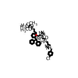 CC1(C)OB(CCCCC(NC(c2ccccc2)(c2ccccc2)c2ccccc2)c2nnnn2CC(=O)NCc2cn(Cc3ccc(Cl)cc3)nn2)OC1(C)C